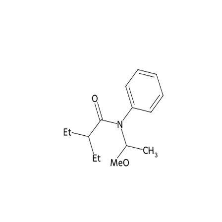 CCC(CC)C(=O)N(c1ccccc1)C(C)OC